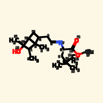 CC1C2(C)C(C/C=N/[C@@H](C[Si](C)(C)C)C(=O)OC(C)(C)C)CC2[C@@]1(C)O